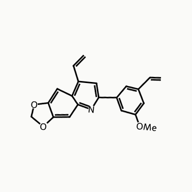 C=Cc1cc(OC)cc(-c2cc(C=C)c3cc4c(cc3n2)OCO4)c1